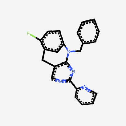 Fc1ccc2cc1Cc1cnc(-c3ccccn3)nc1N2Cc1ccccc1